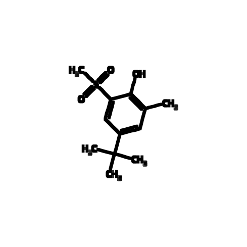 Cc1cc(C(C)(C)C)cc(S(C)(=O)=O)c1O